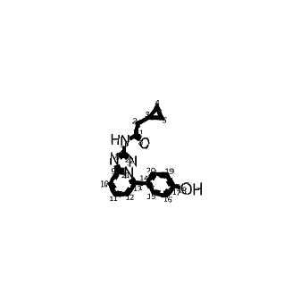 O=C(CC1CC1)Nc1nc2cccc(-c3ccc(O)cc3)n2n1